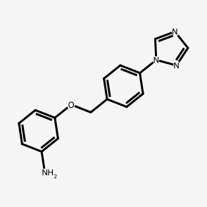 Nc1cccc(OCc2ccc(-n3cncn3)cc2)c1